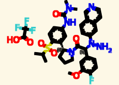 COc1cc([C@@H](C(=O)N2CCC[C@@H]2c2cc(NC(=O)N(C)C)ccc2S(=O)(=O)C(C)C)N(N)c2ccc3cnccc3c2)ccc1F.O=C(O)C(F)(F)F